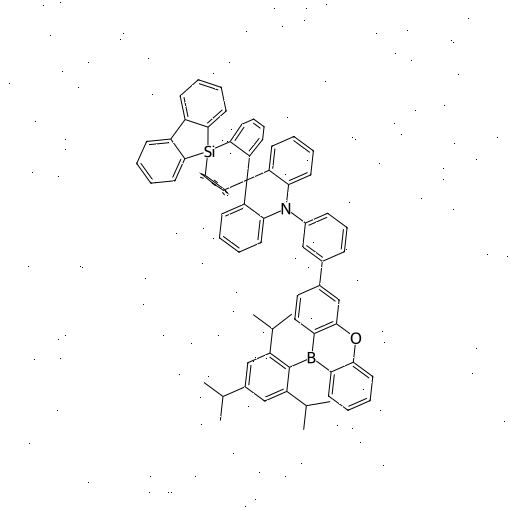 CC(C)c1cc(C(C)C)c(B2c3ccccc3Oc3cc(-c4cccc(N5c6ccccc6C6(c7ccccc75)c5ccccc5[Si]5(c7ccccc7-c7ccccc75)c5ccccc56)c4)ccc32)c(C(C)C)c1